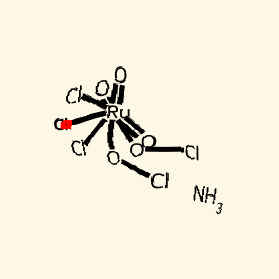 N.[O]=[Ru](=[O])(=[O])([Cl])([Cl])([Cl])([Cl])([O]Cl)[O]Cl